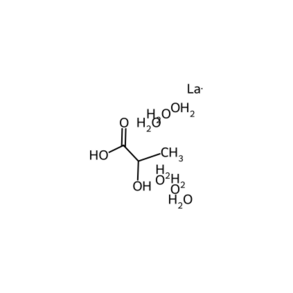 CC(O)C(=O)O.O.O.O.O.O.O.[La]